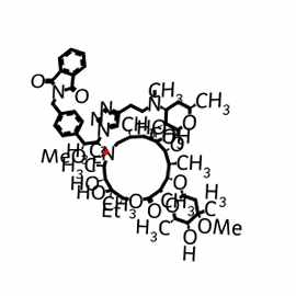 CC[C@H]1OC(=O)[C@H](C)[C@@H](O[C@H]2C[C@@](C)(OC)[C@@H](O)[C@H](C)O2)[C@H](C)[C@@H](O[C@@H]2O[C@H](C)C[C@H](N(C)CCc3cn([C@H](CF)[C@H](OC)c4ccc(CN5C(=O)c6ccccc6C5=O)cc4)nn3)[C@H]2O)[C@](C)(O)C[C@@H](C)CN(C)[C@H](C)[C@@H](O)[C@]1(C)O